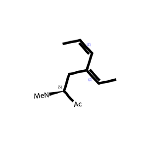 C/C=C\C(=C/C)C[C@H](NC)C(C)=O